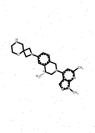 Cc1cc(N2Cc3ccc(N4CC5(CNCCO5)C4)cc3[C@@H](C)C2)c2cnn(C)c2n1